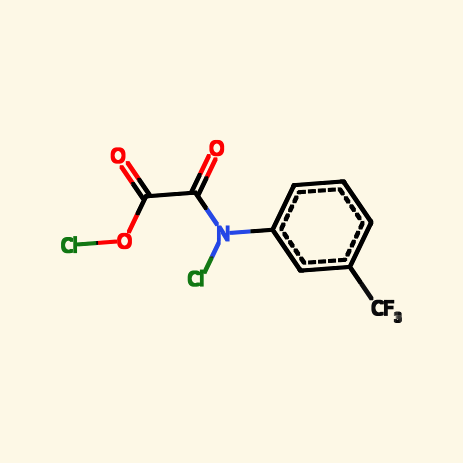 O=C(OCl)C(=O)N(Cl)c1cccc(C(F)(F)F)c1